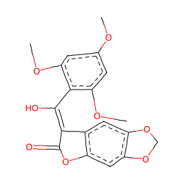 COc1cc(OC)c(/C(O)=C2/C(=O)Oc3cc4c(cc32)OCO4)c(OC)c1